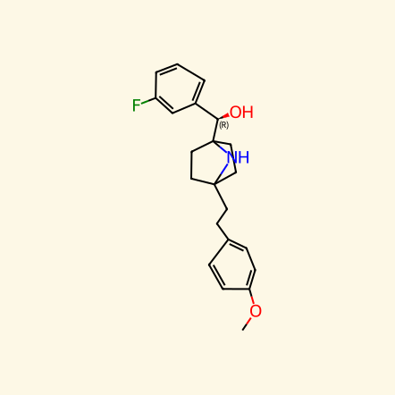 COc1ccc(CCC23CCC([C@H](O)c4cccc(F)c4)(CC2)N3)cc1